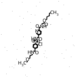 CCCCCOC(=O)CNC(=O)c1ccc(C(=O)NS(=O)(=O)c2ccc(C(=O)NCCCOCC)cc2Cl)cn1